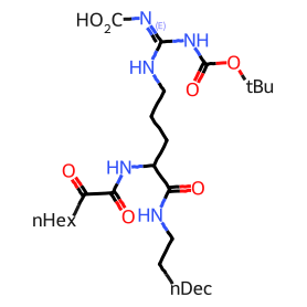 CCCCCCCCCCCCNC(=O)C(CCCN/C(=N\C(=O)O)NC(=O)OC(C)(C)C)NC(=O)C(=O)CCCCCC